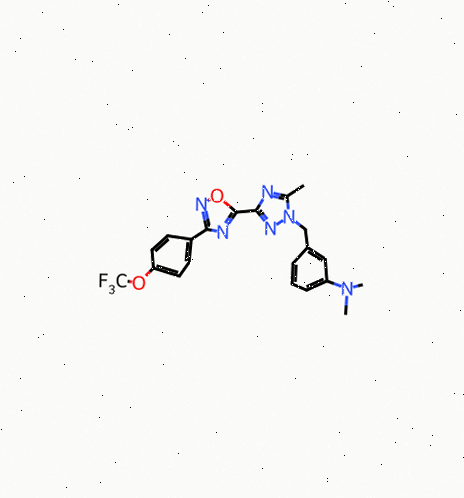 Cc1nc(-c2nc(-c3ccc(OC(F)(F)F)cc3)no2)nn1Cc1cccc(N(C)C)c1